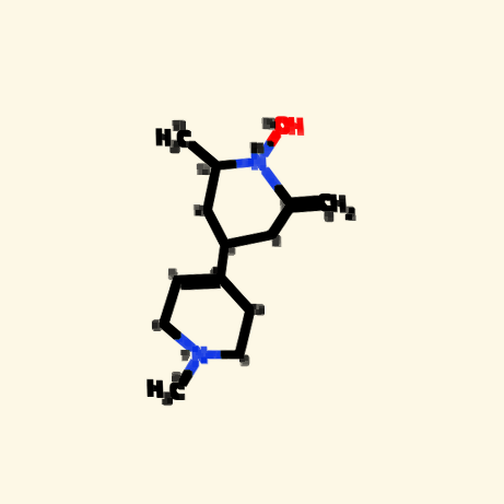 C=C1CC(C2=CCN(C)CC2)CC(C)N1O